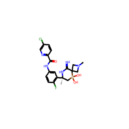 CN1CC2(C1)C(=N)N[C@](C)(c1cc(NC(=O)c3ccc(Cl)cn3)ccc1F)CS2(O)O